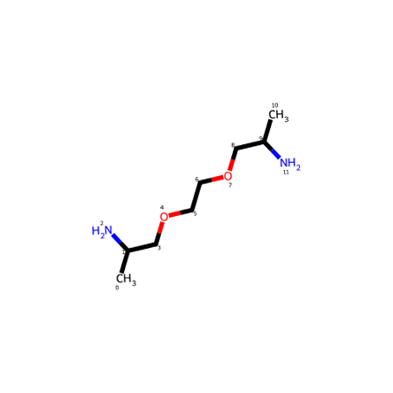 CC(N)COCCOCC(C)N